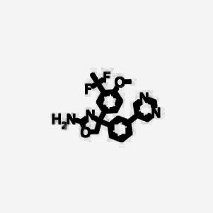 COc1ccc(C2(c3cccc(-c4cncnc4)c3)COC(N)=N2)cc1C(C)(F)F